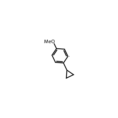 COc1c[c]c(C2CC2)cc1